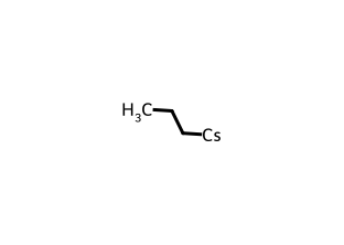 CC[CH2][Cs]